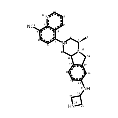 C[C@@H]1CN(c2ccc(C#N)c3ncccc23)CC2c3ccc(NC4CNC4)cc3CN21